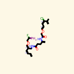 C=C/C=C\C(=C\OCC(F)P)CNC(=O)CCC(=C)NC(=O)CO/C=C/C=C(/Cl)C(=C)C